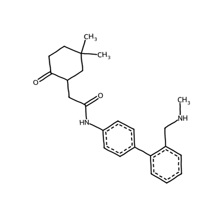 CNCc1ccccc1-c1ccc(NC(=O)CC2CC(C)(C)CCC2=O)cc1